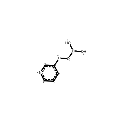 OB(O)OOc1cccnc1